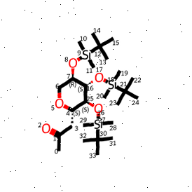 CC(=O)C[C@@H]1OC[C@@H](O[Si](C)(C)C(C)(C)C)[C@H](O[Si](C)(C)C(C)(C)C)[C@H]1O[Si](C)(C)C(C)(C)C